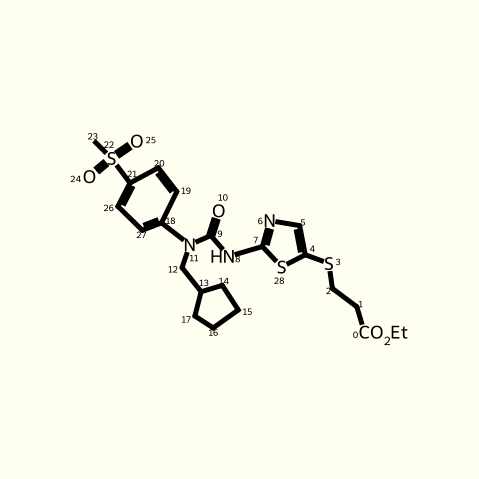 CCOC(=O)CCSc1cnc(NC(=O)N(CC2CCCC2)c2ccc(S(C)(=O)=O)cc2)s1